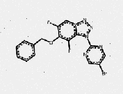 Fc1cc2nnn(-c3ncc(Br)cn3)c2c(F)c1OCc1ccccc1